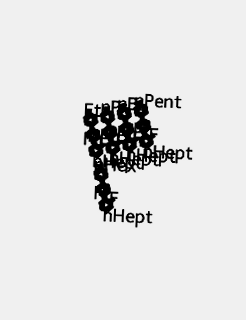 CCCCCCCc1ccc(-c2ccc(-c3ccc(CC)cc3)cn2)c(F)c1.CCCCCCCc1ccc(-c2ccc(-c3ccc(CCC)cc3)cn2)c(F)c1.CCCCCCCc1ccc(-c2ccc(-c3ccc(CCCC)cc3)cn2)c(F)c1.CCCCCCCc1ccc(-c2ccc(-c3ccc(CCCCC)cc3)cn2)c(F)c1.CCCCCCCc1ccc(-c2ccc(-c3ccc(CCCCCC)cc3)cn2)c(F)c1